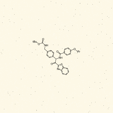 CC(C)Oc1ccc(C(=O)NC(C(=O)c2nc3ccccc3s2)c2ccc(CNC(=O)OC(C)(C)C)cc2)cc1